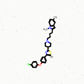 CCc1sc(C2CCN(CCCCc3cc4cc(C#N)ccc4n3C)CC2)nc1-c1ccc(Oc2ccc(Cl)cc2)cc1